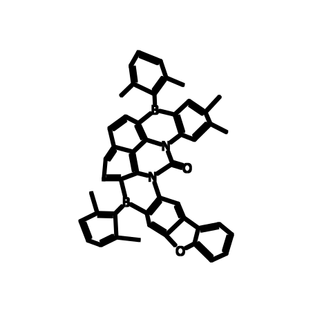 Cc1cc2c(cc1C)N1C(=O)N3c4cc5c(cc4B(c4c(C)cccc4C)c4ccc6ccc(c1c6c43)B2c1c(C)cccc1C)oc1ccccc15